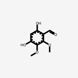 COc1c(O)cc(O)c(C=O)c1OC